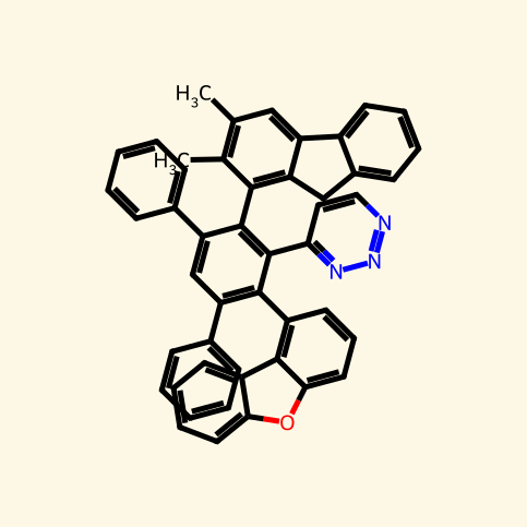 Cc1cc2c(c(-c3c(-c4ccccc4)cc(-c4ccccc4)c(-c4cccc5oc6ccccc6c45)c3-c3ccnnn3)c1C)Cc1ccccc1-2